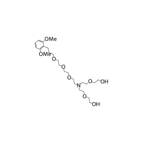 COc1cccc(OC)c1CCCOCCOCCOCCN(CCOCCO)CCOCCO